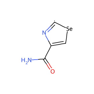 NC(=O)c1c[se][c]n1